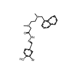 CN(CCN(C)Cc1cccc2ccccc12)CC(=O)N/N=C/c1ccc(O)c(Br)c1